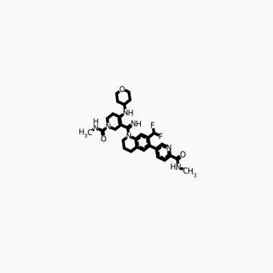 CNC(=O)c1ccc(-c2cc3c(cc2C(F)F)N(C(=N)C2=C(NC4CCOCC4)CCN(C(=O)NC)C2)CCC3)cn1